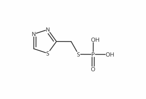 O=P(O)(O)SCc1nncs1